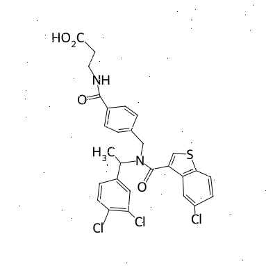 CC(c1ccc(Cl)c(Cl)c1)N(Cc1ccc(C(=O)NCCC(=O)O)cc1)C(=O)c1csc2ccc(Cl)cc12